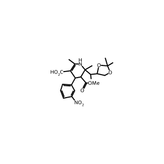 COC(=O)C1C(c2cccc([N+](=O)[O-])c2)C(C(=O)O)=C(C)NC1(C)C(C)C1COC(C)(C)O1